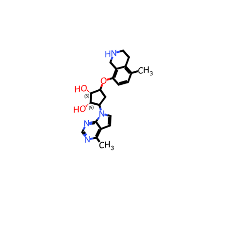 Cc1ccc(OC2CC(n3ccc4c(C)ncnc43)[C@H](O)[C@@H]2O)c2c1CCNC2